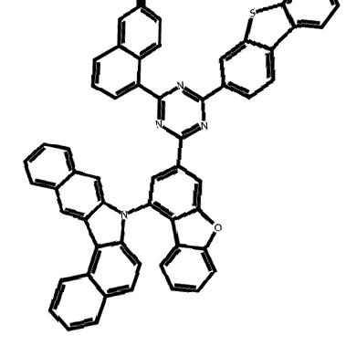 c1ccc2cc3c(cc2c1)c1c2ccccc2ccc1n3-c1cc(-c2nc(-c3ccc4c(c3)sc3ccccc34)nc(-c3cccc4ccccc34)n2)cc2oc3ccccc3c12